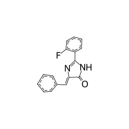 O=C1NC(c2ccccc2F)=N/C1=C\c1ccccc1